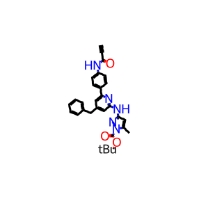 C#CC(=O)Nc1ccc(-c2cc(Cc3ccccc3)cc(Nc3cc(C)n(C(=O)OC(C)(C)C)n3)n2)cc1